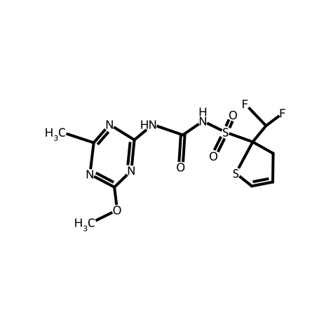 COc1nc(C)nc(NC(=O)NS(=O)(=O)C2(C(F)F)CC=CS2)n1